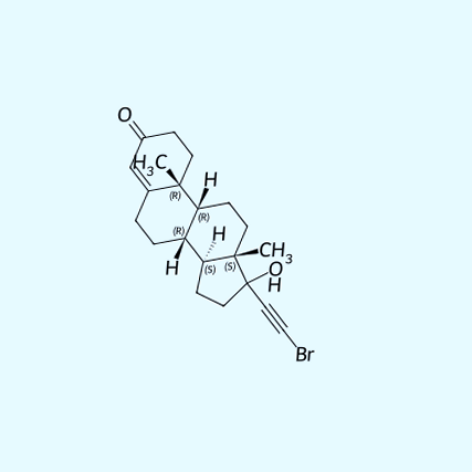 C[C@]12CCC(=O)C=C1CC[C@@H]1[C@H]2CC[C@@]2(C)[C@H]1CCC2(O)C#CBr